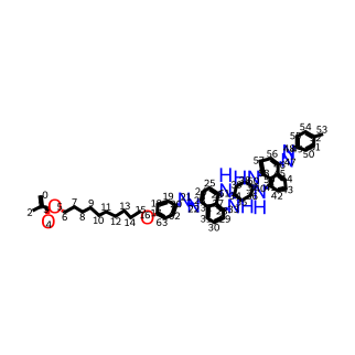 C=C(C)C(=O)OCCCCCCCCCCOc1ccc(/N=N/c2ccc3c4c(cccc24)NC2(CCC4(CC2)Nc2cccc5c(/N=N/c6ccc(C)cc6)ccc(c25)N4)N3)cc1